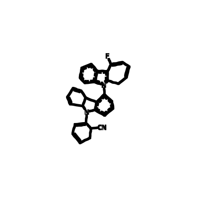 N#CC1CC=CC=C1N1c2cccc(-n3c4c(c5ccccc53)C(F)=CC=CC4)c2C2C=CC=CC21